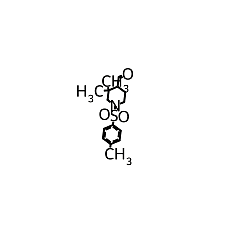 Cc1ccc(S(=O)(=O)N2CCC(C=O)C(C)(C)C2)cc1